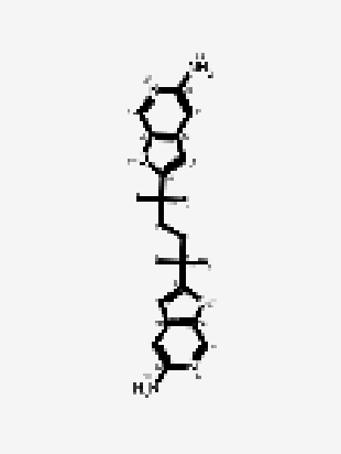 CC(C)(CCC(C)(C)c1cc2cc(N)ncc2s1)c1cc2cc(N)ncc2o1